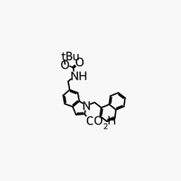 CC(C)(C)OC(=O)NCc1ccc2cc(C(=O)O)n(Cc3cccc4ccccc34)c2c1